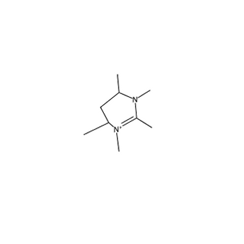 CC1=[N+](C)C(C)CC(C)N1C